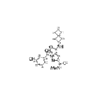 CNC(=O)c1cc(C(=O)NC2CC3(CCC3)C2)n(C(C)c2cccc(Cl)c2)n1